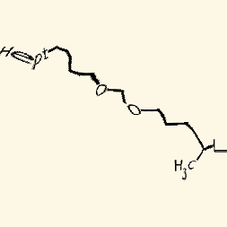 [Li][CH](C)CCCOCOCCCCCCCCCC